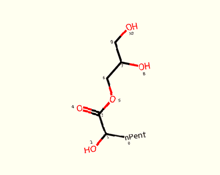 CCCCCC(O)C(=O)OCC(O)CO